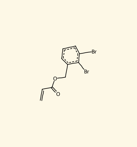 C=CC(=O)OCc1cccc(Br)c1Br